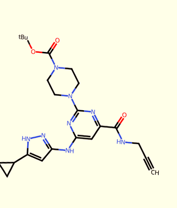 C#CCNC(=O)c1cc(Nc2cc(C3CC3)[nH]n2)nc(N2CCN(C(=O)OC(C)(C)C)CC2)n1